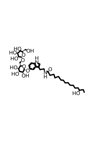 CCC(O)CCCCCCCCCCCCC(=O)NCCc1c[nH]c2ccc(O[C@H]3O[C@H](CO[C@H]4O[C@H](CO)[C@@H](O)[C@H](O)[C@H]4O)[C@@H](O)[C@H](O)[C@H]3O)cc12